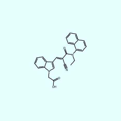 CCN(C(=O)/C(C#N)=C/c1cn(CC(=O)O)c2ccccc12)c1cccc2ccccc12